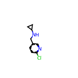 Clc1ccc(CNC2CC2)cn1